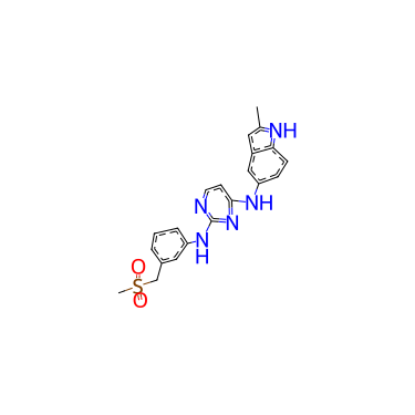 Cc1cc2cc(Nc3ccnc(Nc4cccc(CS(C)(=O)=O)c4)n3)ccc2[nH]1